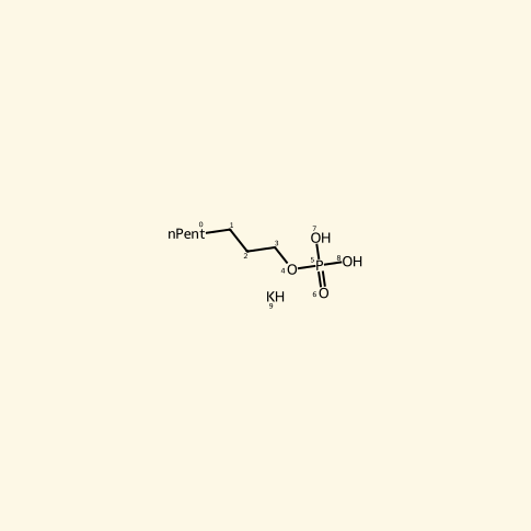 CCCCCCCCOP(=O)(O)O.[KH]